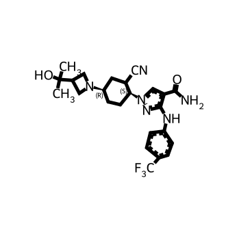 CC(C)(O)C1CN([C@@H]2CC[C@H](n3cc(C(N)=O)c(Nc4ccc(C(F)(F)F)cc4)n3)C(C#N)C2)C1